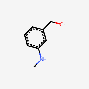 CNc1cccc(C[O])c1